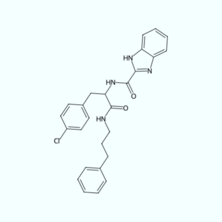 O=C(NC(Cc1ccc(Cl)cc1)C(=O)NCCCc1ccccc1)c1nc2ccccc2[nH]1